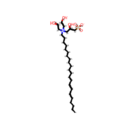 CCCCCCCCCCCCCCCCCCCCCC[N+](CCO)(CCO)CC(O)CS(=O)(=O)[O-]